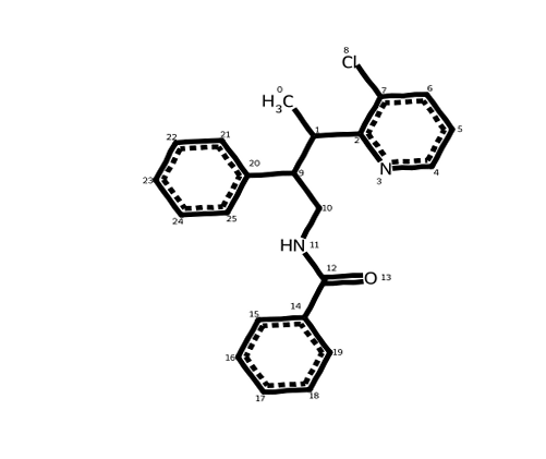 CC(c1ncccc1Cl)C(CNC(=O)c1ccccc1)c1ccccc1